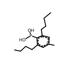 CCCCc1cc(C)cc(CCCC)c1P(O)O